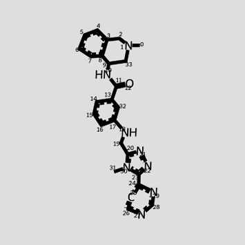 CN1Cc2ccccc2C(NC(=O)c2cccc(NCc3nnc(-c4ccncn4)n3C)c2)C1